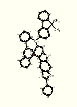 CC1(C)c2ccccc2-c2cc(N(c3ccc4c(c3)oc3cc5oc(-c6ccccc6)nc5cc34)c3ccccc3-c3ccc4ccccc4c3)ccc21